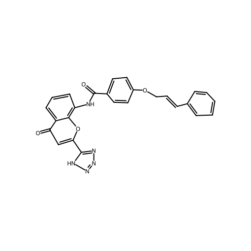 O=C(Nc1cccc2c(=O)cc(-c3nnn[nH]3)oc12)c1ccc(OC/C=C/c2ccccc2)cc1